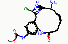 COC(=O)Nc1ccc2c(c1)NC(=O)CCCCC[C@H](N)c1nc-2c(Cl)[nH]1